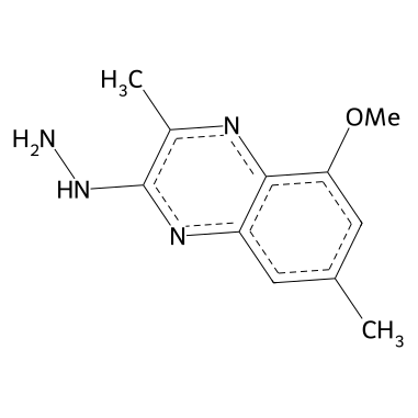 COc1cc(C)cc2nc(NN)c(C)nc12